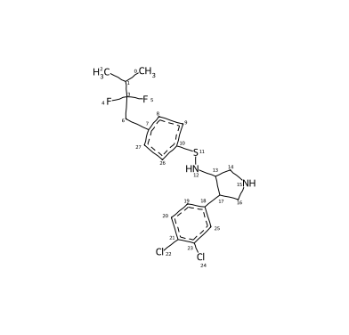 CC(C)C(F)(F)Cc1ccc(SNC2CNCC2c2ccc(Cl)c(Cl)c2)cc1